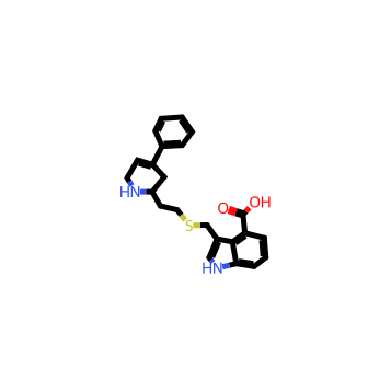 O=C(O)c1cccc2[nH]cc(CSCCC3CC(c4ccccc4)=CCN3)c12